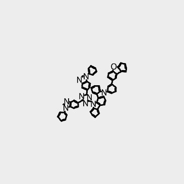 c1ccc(-n2cnc3cc(-c4nc(-c5ccc6c(c5)ncn6-c5ccccc5)nc(-n5c6ccccc6c6ccc7c(c8ccccc8n7-c7cccc(-c8ccc9oc%10ccccc%10c9c8)c7)c65)n4)ccc32)cc1